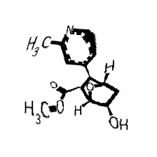 COC(=O)[C@@H]1[C@@H]2O[C@@H](C[C@H]2O)[C@@H]1c1ccnc(C)c1